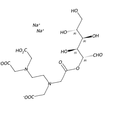 O=C[C@H](OC(=O)CN(CCN(CC(=O)[O-])CC(=O)O)CC(=O)[O-])[C@@H](O)[C@H](O)[C@H](O)CO.[Na+].[Na+]